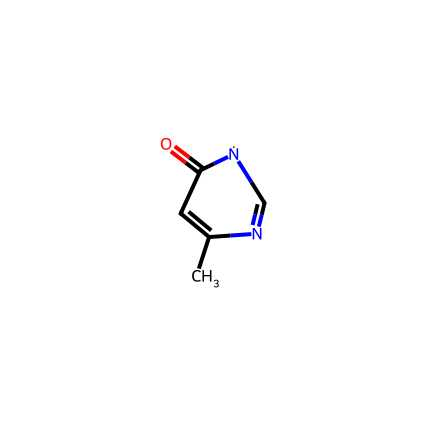 CC1=CC(=O)[N]C=N1